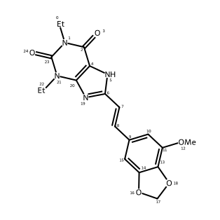 CCn1c(=O)c2[nH]c(/C=C/c3cc(OC)c4c(c3)OCO4)nc2n(CC)c1=O